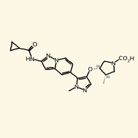 C[C@H]1CN(C(=O)O)C[C@H]1Oc1cnn(C)c1-c1ccn2nc(NC(=O)C3CC3)cc2c1